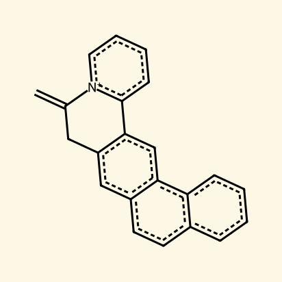 C=C1Cc2cc3ccc4ccccc4c3cc2-c2cccc[n+]21